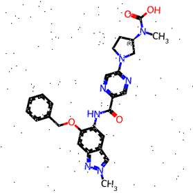 CN(C(=O)O)[C@@H]1CCN(c2cnc(C(=O)Nc3cc4cn(C)nc4cc3OCc3ccccc3)cn2)C1